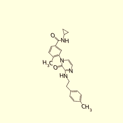 Cc1ccc(CCNc2nccn(-c3cc(C(=O)NC4CC4)ccc3C)c2=O)cc1